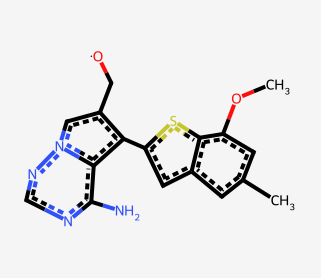 COc1cc(C)cc2cc(-c3c(C[O])cn4ncnc(N)c34)sc12